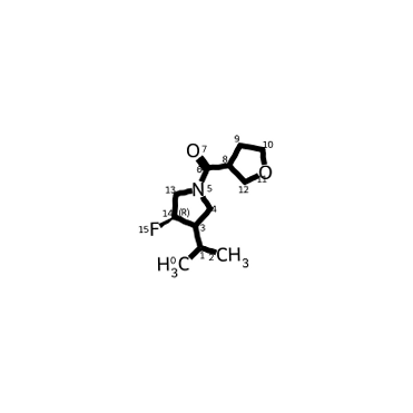 CC(C)C1CN(C(=O)C2CCOC2)C[C@@H]1F